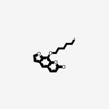 O=c1ccc2cc3ccoc3c(OCCCCCI)c2o1